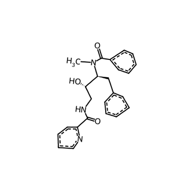 CN(C(=O)c1ccccc1)[C@@H](Cc1ccccc1)[C@@H](O)CNC(=O)c1ccccn1